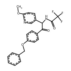 COc1ccc(C(NC(=O)C(F)(F)F)C(=O)c2ccc(OCc3ccccc3)cc2)cn1